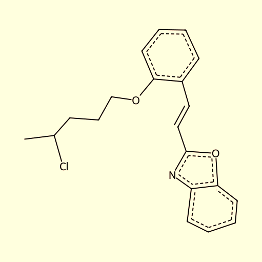 CC(Cl)CCCOc1ccccc1C=Cc1nc2ccccc2o1